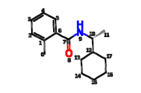 Cc1ccccc1C(=O)N[C@H](C)C1CCCCC1